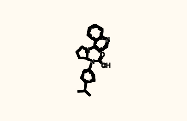 CC(C)c1ccc(N(C(=O)O)C2CCCN2c2ccnc3ccccc23)cc1